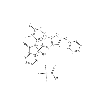 O=C(O)C(F)(F)F.O=C1c2ccccc2C(O)(c2ccc3[nH]c(Nc4ccccc4)nc3c2)N1c1cccc(Cl)c1F